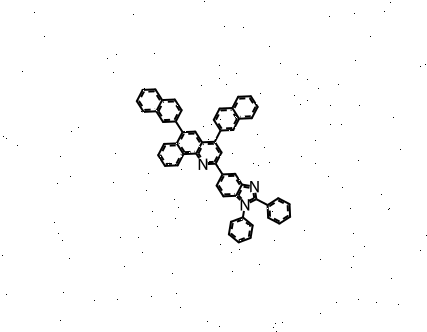 c1ccc(-c2nc3cc(-c4cc(-c5ccc6ccccc6c5)c5cc(-c6ccc7ccccc7c6)c6ccccc6c5n4)ccc3n2-c2ccccc2)cc1